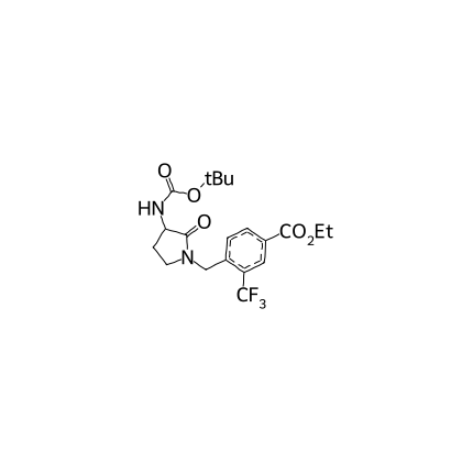 CCOC(=O)c1ccc(CN2CCC(NC(=O)OC(C)(C)C)C2=O)c(C(F)(F)F)c1